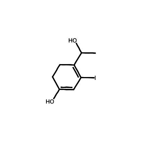 CC(O)C1=C(I)C=C(O)CC1